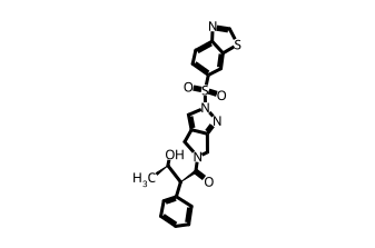 C[C@@H](O)[C@@H](C(=O)N1Cc2cn(S(=O)(=O)c3ccc4ncsc4c3)nc2C1)c1ccccc1